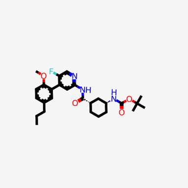 CCCc1ccc(OC)c(-c2cc(NC(=O)[C@H]3CCC[C@@H](NC(=O)OC(C)(C)C)C3)ncc2F)c1